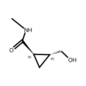 CNC(=O)[C@@H]1C[C@H]1CO